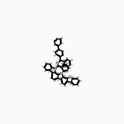 c1ccc(-c2ccc(-c3nc(-n4c5ccccc5c5ccc6c7ccc8c9ccccc9oc8c7n(-c7ccccc7)c6c54)nc4ccccc34)cc2)cc1